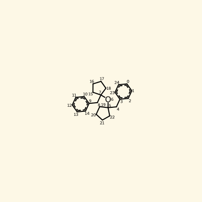 c1ccc(CC2(OC3(Cc4ccccc4)CCCC3)CCCC2)cc1